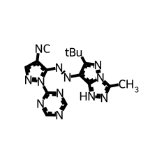 [C-]#[N+]c1cnn(-c2ncncn2)c1/N=N/c1c(C(C)(C)C)nn2c(C)n[nH]c12